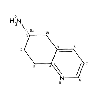 N[C@H]1CCc2n[c]ccc2C1